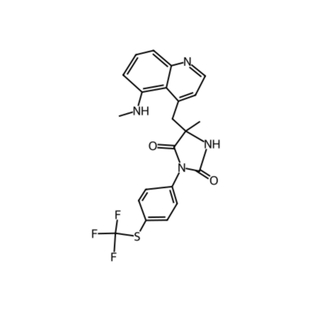 CNc1cccc2nccc(CC3(C)NC(=O)N(c4ccc(SC(F)(F)F)cc4)C3=O)c12